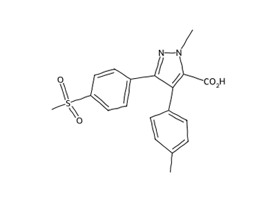 Cc1ccc(-c2c(-c3ccc(S(C)(=O)=O)cc3)nn(C)c2C(=O)O)cc1